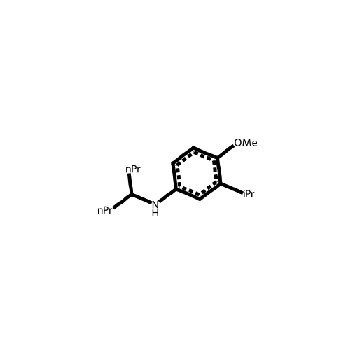 CCCC(CCC)Nc1ccc(OC)c(C(C)C)c1